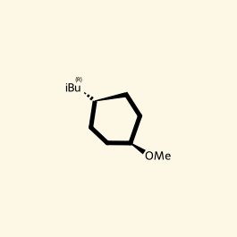 CC[C@@H](C)[C@H]1CC[C@@H](OC)CC1